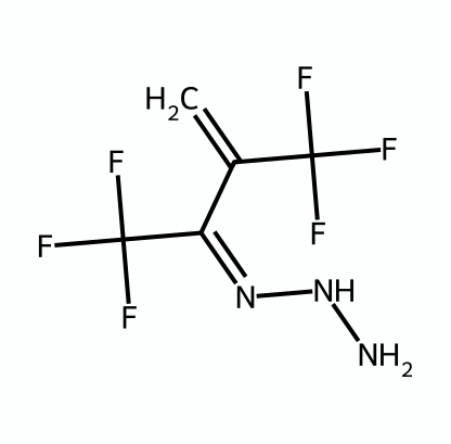 C=C(/C(=N\NN)C(F)(F)F)C(F)(F)F